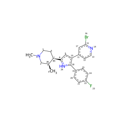 C[C@H]1CN(C)CC[C@H]1c1cc(-c2ccnc(Br)c2)c(-c2ccc(F)cc2)[nH]1